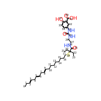 CCC=CCC=CCC=CCCCCCCCCSC(CC)(CC)C(=O)NCCNC(=O)Nc1ccc(O)c(C(=O)O)c1